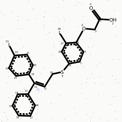 O=C(O)COc1ccc(SC/C=C(/c2ccccc2)c2ccc(I)cc2)cc1I